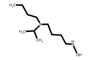 CCCCN(CCCCNO)C(C)C